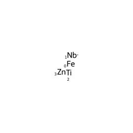 [Fe].[Nb].[Ti].[Zn]